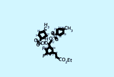 CCOC(=O)CCc1cc(F)c(F)c([C@H](O)COS(=O)(=O)c2ccc(C)cc2)c1.Cc1ccc(S(=O)(=O)Cl)cc1